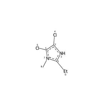 CCc1[nH]c(Cl)c(Cl)[n+]1C